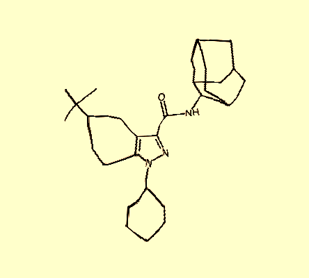 CC(C)(C)C1CCc2c(c(C(=O)NC3C4CC5CC(C4)CC3C5)nn2C2CCCCC2)C1